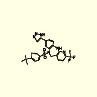 CC(C)(C)c1ccc(S(=O)(=O)N2Cc3ccc(C(F)(F)F)nc3Nc3ccc(-c4cnn[nH]4)cc32)cc1